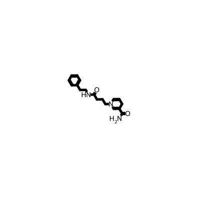 NC(=O)C1=CN(CCCC(=O)NCCc2ccccc2)C=CC1